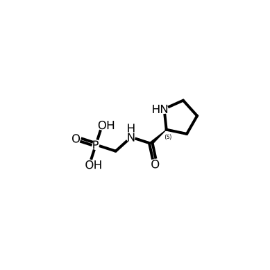 O=C(NCP(=O)(O)O)[C@@H]1CCCN1